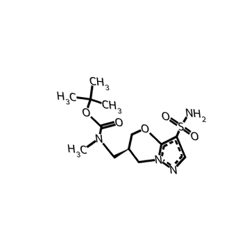 CN(C[C@H]1COc2c(S(N)(=O)=O)cnn2C1)C(=O)OC(C)(C)C